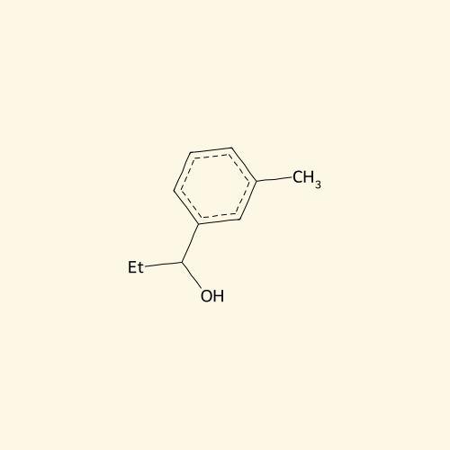 CCC(O)c1cccc(C)c1